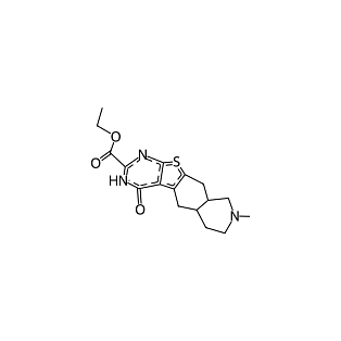 CCOC(=O)c1nc2sc3c(c2c(=O)[nH]1)CC1CCN(C)CC1C3